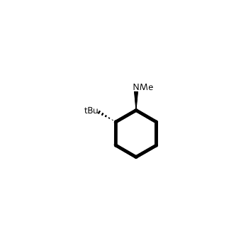 CN[C@H]1CCCC[C@@H]1C(C)(C)C